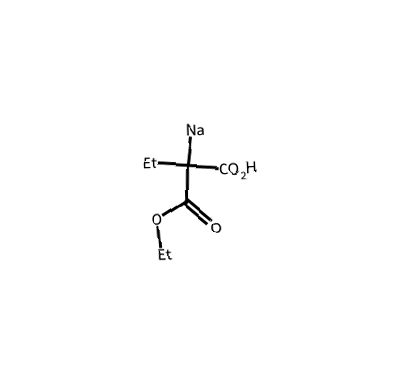 CCOC(=O)[C]([Na])(CC)C(=O)O